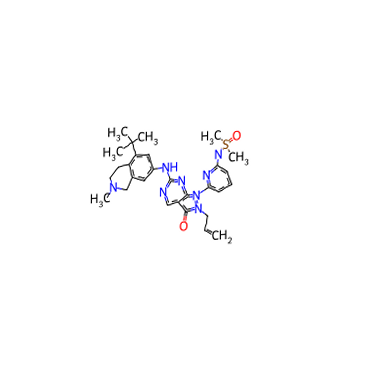 C=CCn1c(=O)c2cnc(Nc3cc4c(c(C(C)(C)C)c3)CCN(C)C4)nc2n1-c1cccc(N=S(C)(C)=O)n1